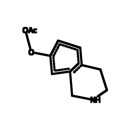 CC(=O)OOc1ccc2c(c1)CNCC2